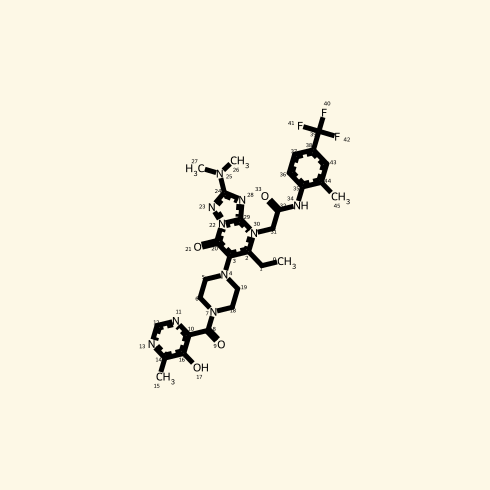 CCc1c(N2CCN(C(=O)c3ncnc(C)c3O)CC2)c(=O)n2nc(N(C)C)nc2n1CC(=O)Nc1ccc(C(F)(F)F)cc1C